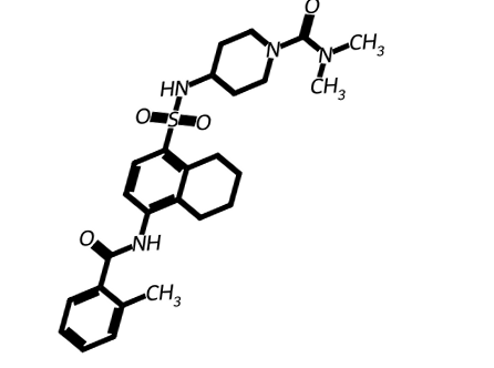 Cc1ccccc1C(=O)Nc1ccc(S(=O)(=O)NC2CCN(C(=O)N(C)C)CC2)c2c1CCCC2